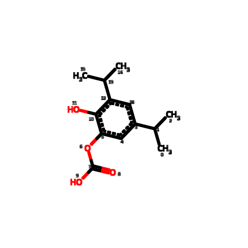 CC(C)c1cc(OC(=O)O)c(O)c(C(C)C)c1